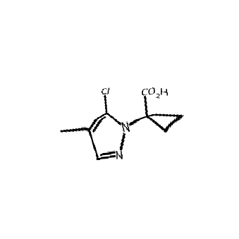 Cc1cnn(C2(C(=O)O)CC2)c1Cl